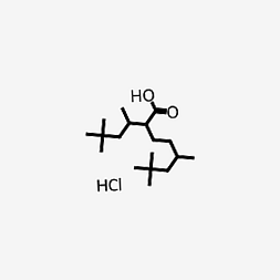 CC(CCC(C(=O)O)C(C)CC(C)(C)C)CC(C)(C)C.Cl